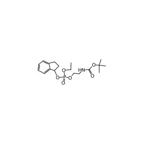 CCOP(=O)(OCCNC(=O)OC(C)(C)C)OC1CCc2ccccc21